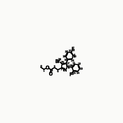 CCOC(=O)CCc1nn(-c2ccccc2F)c(-c2ccc(F)nc2)c1Br